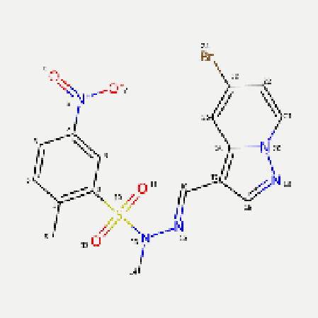 Cc1ccc([N+](=O)[O-])cc1S(=O)(=O)N(C)N=Cc1cnn2ccc(Br)cc12